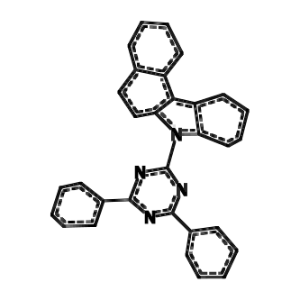 c1ccc(-c2nc(-c3ccccc3)nc(-n3c4ccccc4c4c5ccccc5ccc43)n2)cc1